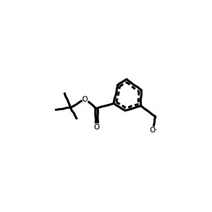 CC(C)(C)OC(=O)c1cccc(C[O])c1